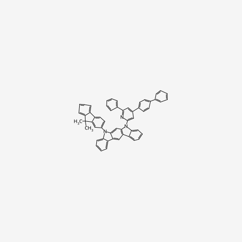 CC1(C)c2ccccc2-c2ccc(-n3c4ccccc4c4cc5c6ccccc6n(-c6cc(-c7ccc(-c8ccccc8)cc7)cc(-c7ccccc7)n6)c5cc43)cc21